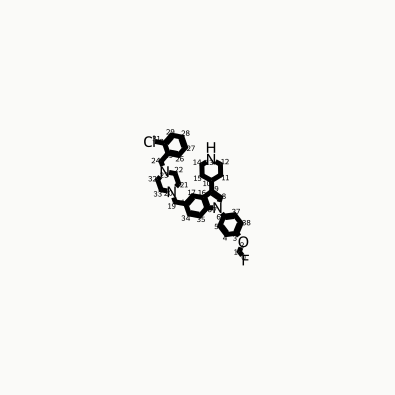 FCOc1ccc(-n2cc(C3CCNCC3)c3cc(CN4CCN(Cc5ccccc5Cl)CC4)ccc32)cc1